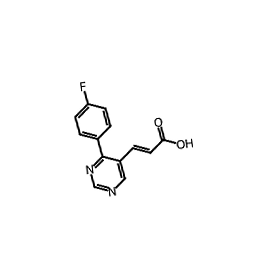 O=C(O)/C=C/c1cncnc1-c1ccc(F)cc1